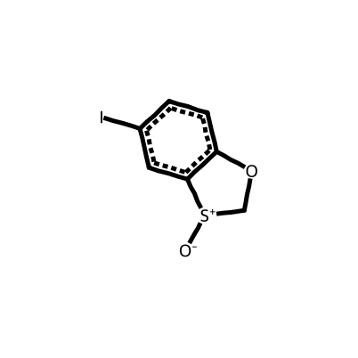 [O-][S+]1COc2ccc(I)cc21